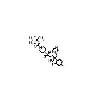 CC(C)(C)OC(=O)N1CCN(S(=O)(=O)CC[C@](O)(Cn2cncn2)c2ccc(F)cc2F)CC1